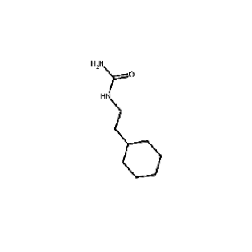 NC(=O)NCCC1CCCCC1